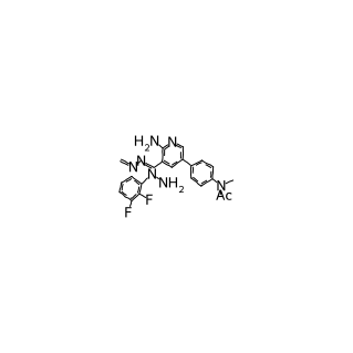 C=N/N=C(/c1cc(-c2ccc(N(C)C(C)=O)cc2)cnc1N)N(N)c1cccc(F)c1F